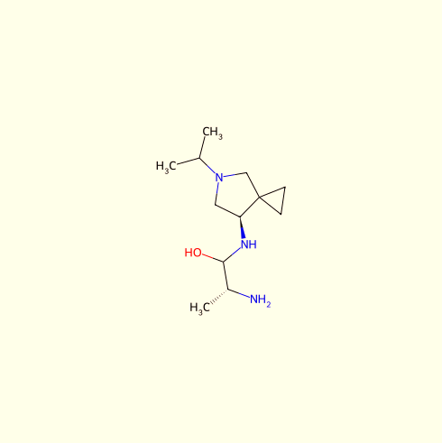 CC(C)N1C[C@H](NC(O)[C@@H](C)N)C2(CC2)C1